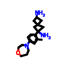 Cc1cc(N2CCCOCC2)ccc1C1(N)CC2(CC(N)C2)C1